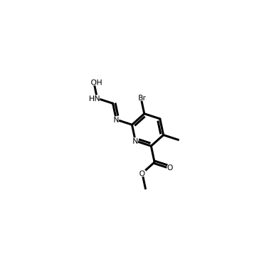 COC(=O)c1nc(N=CNO)c(Br)cc1C